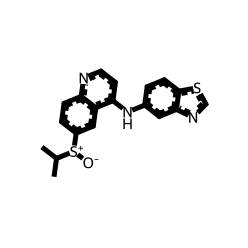 CC(C)[S+]([O-])c1ccc2nccc(Nc3ccc4scnc4c3)c2c1